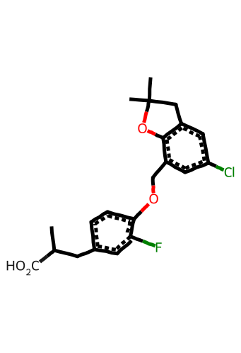 CC(Cc1ccc(OCc2cc(Cl)cc3c2OC(C)(C)C3)c(F)c1)C(=O)O